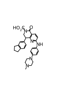 CN1CCN(c2ccc(Nc3ccc4c(n3)C(c3ccc5c(c3)CCC5)CN(C(=O)O)C4=O)cc2)CC1